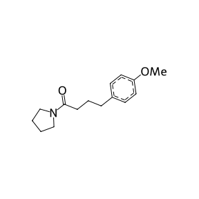 COc1ccc(CCCC(=O)N2CCCC2)cc1